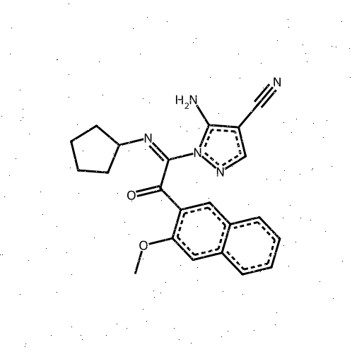 COc1cc2ccccc2cc1C(=O)C(=NC1CCCC1)n1ncc(C#N)c1N